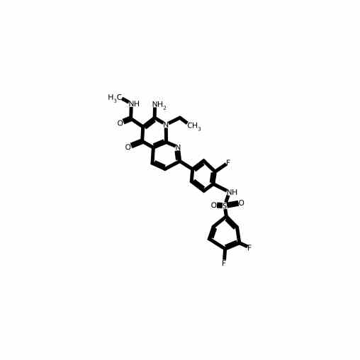 CCn1c(N)c(C(=O)NC)c(=O)c2ccc(-c3ccc(NS(=O)(=O)c4ccc(F)c(F)c4)c(F)c3)nc21